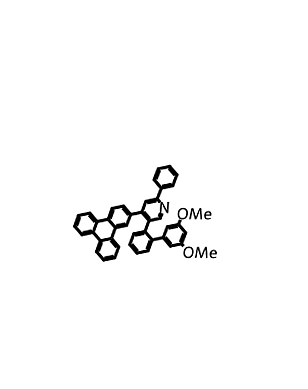 COc1cc(OC)cc(-c2ccccc2-c2cnc(-c3ccccc3)cc2-c2ccc3c4ccccc4c4ccccc4c3c2)c1